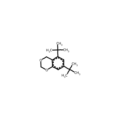 CC(C)(C)c1cc2c(c(C(C)(C)C)c1)COCO2